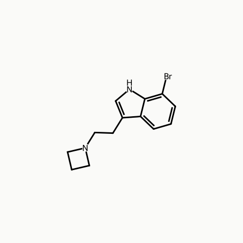 Brc1cccc2c(CCN3CCC3)c[nH]c12